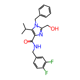 CC(C)c1c(C(=O)NCc2ccc(F)c(F)c2)nc(CO)n1Cc1ccccc1